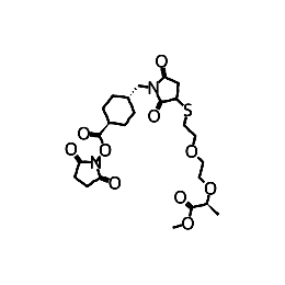 COC(=O)[C@H](C)OCCOCCSC1CC(=O)N(C[C@H]2CC[C@H](C(=O)ON3C(=O)CCC3=O)CC2)C1=O